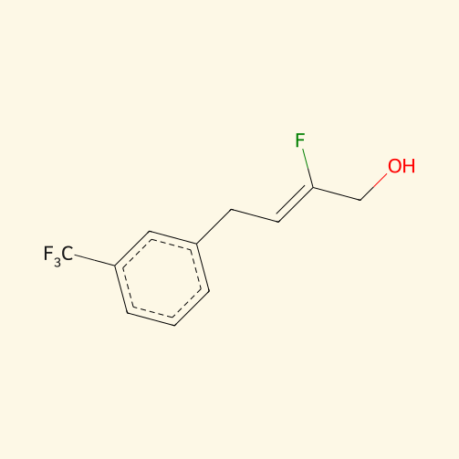 OCC(F)=CCc1cccc(C(F)(F)F)c1